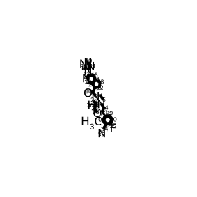 Cc1c([C@@H]2CN3CCN(C(=O)C4CCc5cc(-n6cnnn6)ncc54)C[C@H]3CO2)ccc(F)c1C#N